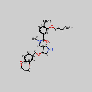 COCCCOc1cc(C(=O)N(CC2CNCC2OCc2ccc3c(c2)OCCCO3)C(C)C)ccc1OC